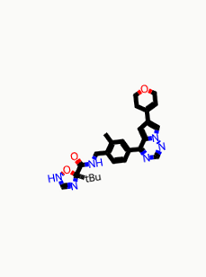 Cc1cc(-c2ncnn3cc(C4=CCOCC4)cc23)ccc1CNC(=O)C1(C(C)(C)C)N=CNO1